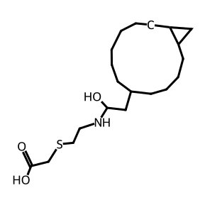 O=C(O)CSCCNC(O)CC1CCCCCCC2CC2CCCC1